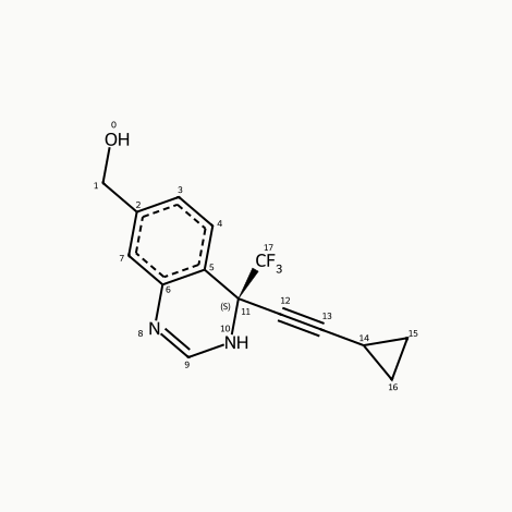 OCc1ccc2c(c1)N=CN[C@]2(C#CC1CC1)C(F)(F)F